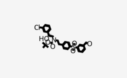 CC(C)(C)OC(=O)N(CCc1ccc(S(=O)(=O)c2cccc(C=O)c2)cc1)C[C@@H](O)c1cccc(Cl)c1